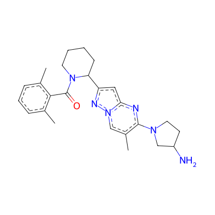 Cc1cn2nc(C3CCCCN3C(=O)c3c(C)cccc3C)cc2nc1N1CCC(N)C1